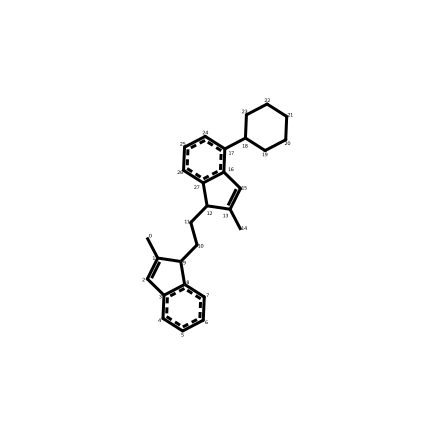 CC1=Cc2ccccc2C1CCC1C(C)=Cc2c(C3CCCCC3)cccc21